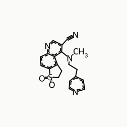 CN(CCc1ccncc1)c1c(C#N)cnc2ccc3c(c12)CCS3(=O)=O